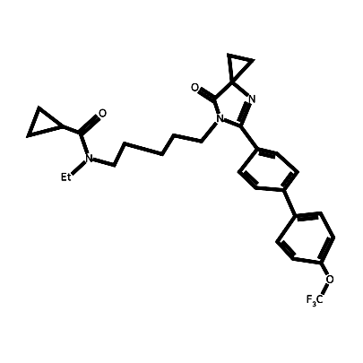 CCN(CCCCCN1C(=O)C2(CC2)N=C1c1ccc(-c2ccc(OC(F)(F)F)cc2)cc1)C(=O)C1CC1